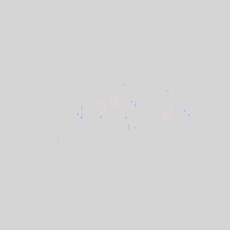 CCOC(=O)/C(=C/CC[C@H]1CCNC1=O)NC(=O)[C@H](CC)CC(=O)c1ccc(-c2ccccc2C(F)(F)F)[nH]1